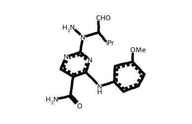 COc1cccc(Nc2nc(N(N)C(C=O)C(C)C)ncc2C(N)=O)c1